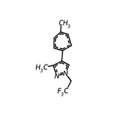 Cc1ccc(-c2cn(CC(F)(F)F)nc2C)cc1